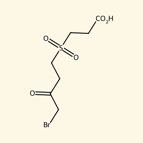 O=C(O)CCS(=O)(=O)CCC(=O)CBr